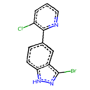 Clc1cccnc1-c1ccc2[nH]nc(Br)c2c1